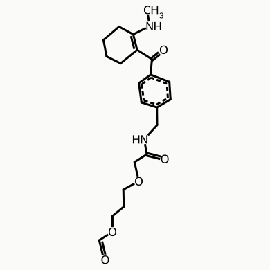 CNC1=C(C(=O)c2ccc(CNC(=O)COCCCOC=O)cc2)CCCC1